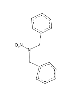 O=[N+]([O-])N(Cc1ccccc1)Cc1ccccc1